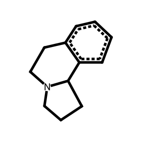 c1ccc2c(c1)CCN1CCCC21